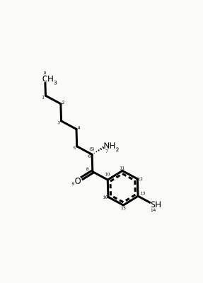 CCCCCC[C@H](N)C(=O)c1ccc(S)cc1